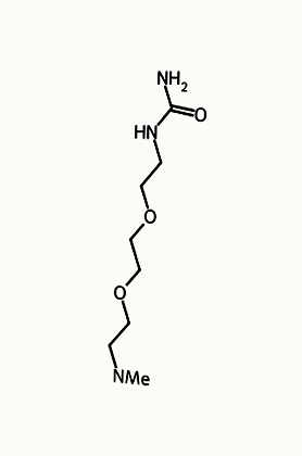 CNCCOCCOCCNC(N)=O